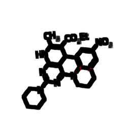 CCOC(=O)C1=C(C)Nc2nc(N3CCCCC3)nc(N3CCCCC3)c2C1c1cccc([N+](=O)[O-])c1